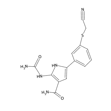 N#CCSc1cccc(-c2cc(C(N)=O)c(NC(N)=O)[nH]2)c1